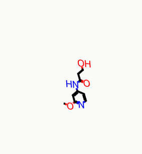 COc1cc(NC(=O)CCO)ccn1